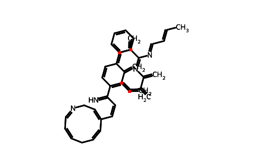 C=C/C=C(/C=C\C(=C\C=C)C(=N)/C=C\C1=CC/N=C\C=C/C/C=C\1)C(=C)/C=C\C(=C)C(=C)\N=C(/N=C/C=C/C)c1ccccc1